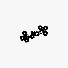 c1ccc(C(OCc2ccc3c(c2)[nH]c2cc(COC(c4ccccc4)(c4ccccc4)c4ccccc4)ccc23)(c2ccccc2)c2ccccc2)cc1